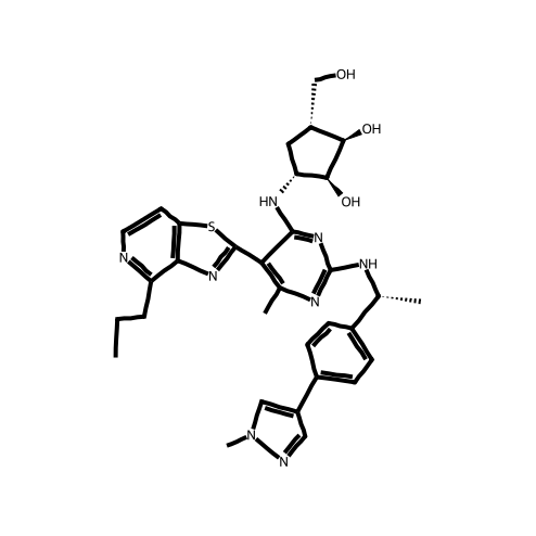 CCCc1nccc2sc(-c3c(C)nc(N[C@H](C)c4ccc(-c5cnn(C)c5)cc4)nc3N[C@@H]3C[C@H](CO)[C@@H](O)[C@H]3O)nc12